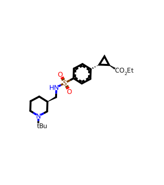 CCOC(=O)[C@@H]1C[C@H]1c1ccc(S(=O)(=O)NC[C@@H]2CCCN(C(C)(C)C)C2)cc1